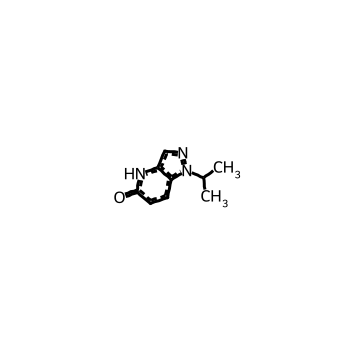 CC(C)n1ncc2[nH]c(=O)ccc21